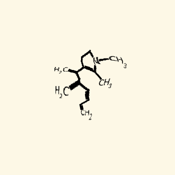 C=C/C=C\C(=C)C(=C)C1=C(C)N(C)CC1